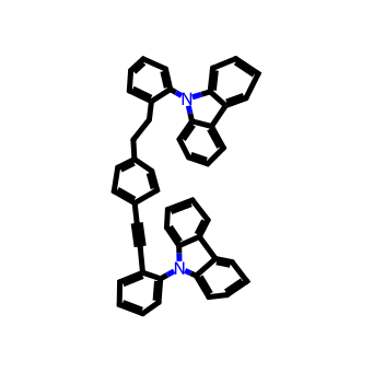 C(#Cc1ccccc1-n1c2ccccc2c2ccccc21)c1ccc(CCc2ccccc2-n2c3ccccc3c3ccccc32)cc1